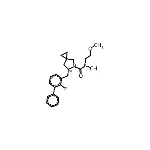 COCCN(C)C(=O)N1CC2(CC2)C[C@@H]1Cc1cccc(-c2ccccc2)c1F